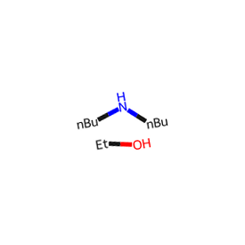 CCCCNCCCC.CCO